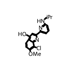 COc1ccc2c(O)cc(-c3cccc(NC(C)C)n3)nc2c1Cl